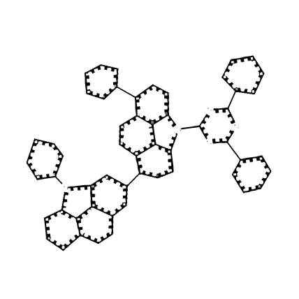 c1ccc(-c2nc(-c3ccccc3)nc(-n3c4ccc(-c5ccccc5)c5ccc6c(-c7cc8ccc9cccc%10c9c8c(c7)n%10-c7ccccc7)ccc3c6c54)n2)cc1